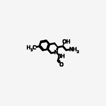 Cc1ccc2c(c1)CN(BC=O)[C@H]([C@H](O)CN)C2